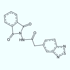 O=C(Cc1ccc2nsnc2c1)NN1C(=O)c2ccccc2C1=O